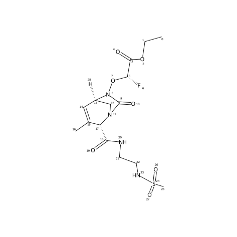 CCOC(=O)[C@H](F)ON1C(=O)N2C[C@H]1C=C(C)[C@H]2C(=O)NCCNS(C)(=O)=O